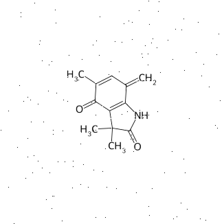 C=C1C=C(C)C(=O)C2=C1NC(=O)C2(C)C